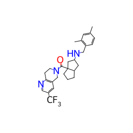 Cc1ccc(CNC2CC3CCCC3(C(=O)N3CCc4ncc(C(F)(F)F)cc4C3)C2)c(C)c1